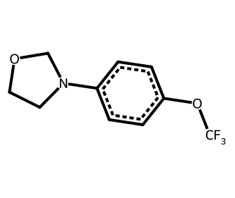 FC(F)(F)Oc1ccc(N2CCOC2)cc1